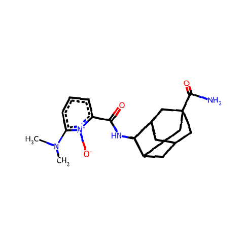 CN(C)c1cccc(C(=O)NC2C3CC4CC2CC(C(N)=O)(C4)C3)[n+]1[O-]